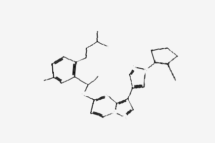 CC(Nc1ccn2ncc(-c3cnn(C4CCCC4C)c3)c2n1)c1cc(F)ccc1CCC(F)F